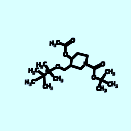 CC(=O)OC1CCN(C(=O)OC(C)(C)C)CC1CO[Si](C)(C)C(C)(C)C